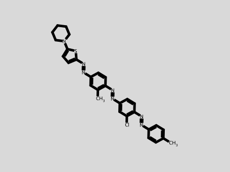 Cc1ccc(N=Nc2ccc(N=Nc3ccc(N=Nc4ccc(N5CCCCC5)s4)cc3C)cc2Cl)cc1